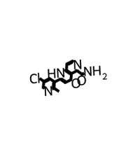 Cc1ncc(Cl)cc1-c1cc(=O)c2c(C(N)=O)nccc2[nH]1